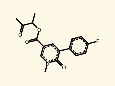 CC(=O)C(C)OC(=O)c1cc(-c2ccc(F)cc2)c(=O)n(C)c1